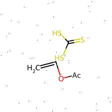 C=COC(C)=O.S=C(S)S